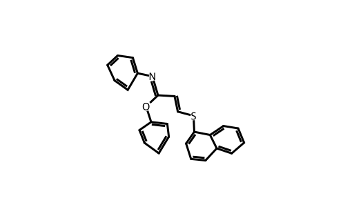 C(=C\C(=N\c1ccccc1)Oc1ccccc1)/Sc1cccc2ccccc12